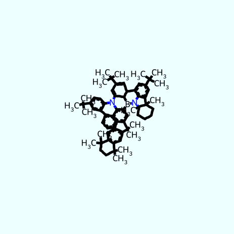 CC(C)(C)C1=CC2c3cc(C(C)(C)C)cc4c3N(B3c5cc6c(cc5N(c5ccc(C(C)(C)C)cc5-c5ccccc5)C(=C1)C32)-c1cc2c(cc1C6(C)C)C(C)(C)CCC2(C)C)C1(C)CCCCC41C